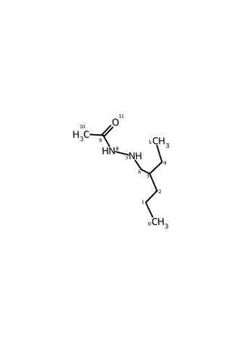 CCCC(CC)CNNC(C)=O